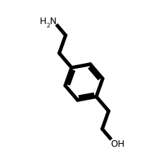 NCCc1ccc(CCO)cc1